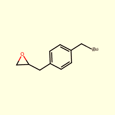 CCC(C)Cc1ccc(CC2CO2)cc1